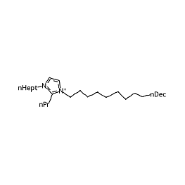 CCCCCCCCCCCCCCCCCCC[n+]1ccn(CCCCCCC)c1CCC